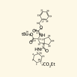 CCOC(=O)[C@@H]1CCC[C@H](NC(=O)C2(CC(NC(=O)OCc3ccccc3)C(=O)OC(C)(C)C)CCCC2)C1